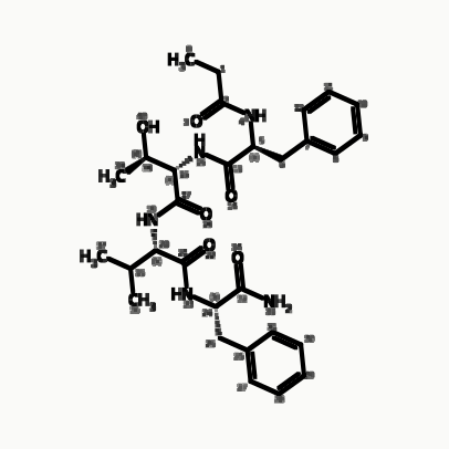 CCC(=O)N[C@@H](Cc1ccccc1)C(=O)N[C@H](C(=O)N[C@H](C(=O)N[C@@H](Cc1ccccc1)C(N)=O)C(C)C)[C@@H](C)O